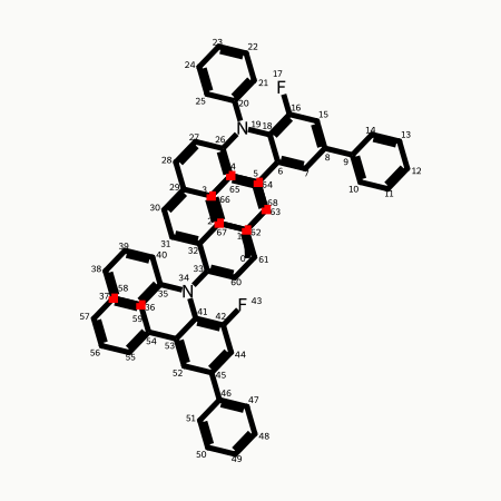 CC1C=CC=C(c2cc(-c3ccccc3)cc(F)c2N(c2ccccc2)c2ccc3ccc4c(N(c5ccccc5)c5c(F)cc(-c6ccccc6)cc5-c5ccccc5)ccc5ccc2c3c54)C1